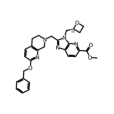 COC(=O)c1ccc2nc(CN3CCc4ccc(OCc5ccccc5)nc4C3)n(C[C@@H]3CCO3)c2n1